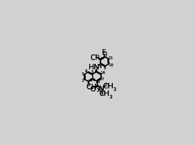 Cc1cccc2c(Nc3cccc(F)c3Cl)ccc(C(=O)N(C)C)c12